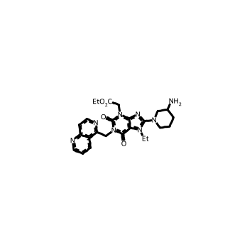 CCOC(=O)Cn1c(=O)n(Cc2nccc3ncccc23)c(=O)c2c1nc(N1CCCC(N)C1)n2CC